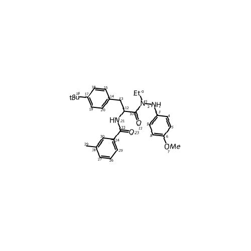 CCN(Nc1ccc(OC)cc1)C(=O)C(Cc1ccc(C(C)(C)C)cc1)NC(=O)c1cccc(C)c1